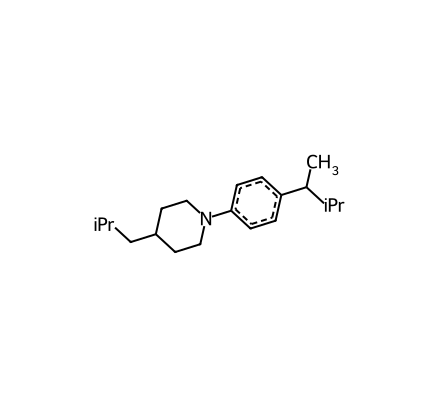 CC(C)CC1CCN(c2ccc(C(C)C(C)C)cc2)CC1